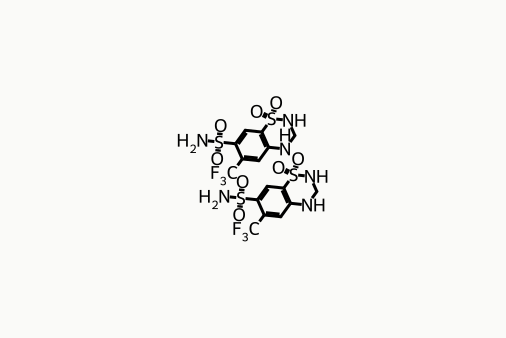 NS(=O)(=O)c1cc2c(cc1C(F)(F)F)NCNS2(=O)=O.NS(=O)(=O)c1cc2c(cc1C(F)(F)F)NCNS2(=O)=O